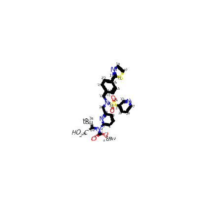 CC(C)(C)OC(=O)N(c1cccc(CN(Cc2ccc(-c3nccs3)cc2)S(=O)(=O)c2cccnc2)n1)C(C(=O)O)C(C)(C)C